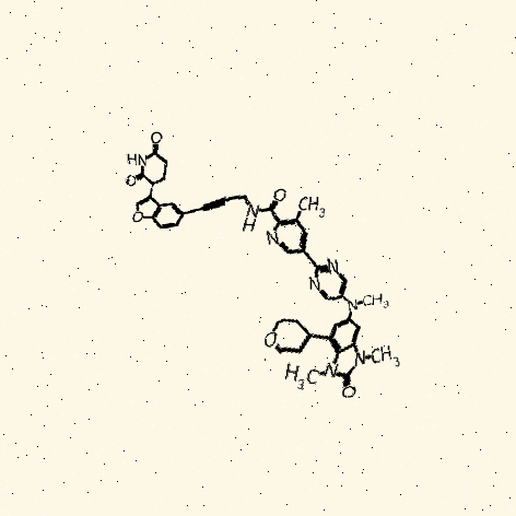 Cc1cc(-c2ncc(N(C)c3cc(C4CCOCC4)c4c(c3)n(C)c(=O)n4C)cn2)cnc1C(=O)NCC#Cc1ccc2occ([C@@H]3CCC(=O)NC3=O)c2c1